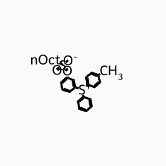 CCCCCCCCS(=O)(=O)[O-].Cc1ccc([S+](c2ccccc2)c2ccccc2)cc1